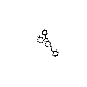 CC1(C)CC(C(=O)c2ccccn2)(N2CCN(CCc3ncccc3F)CC2)CCO1